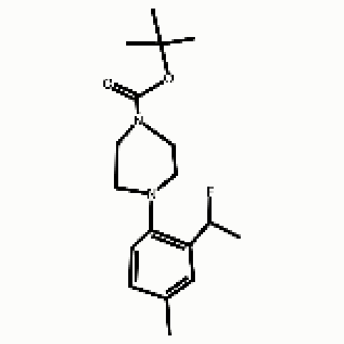 Cc1ccc(N2CCN(C(=O)OC(C)(C)C)CC2)c(C(C)F)c1